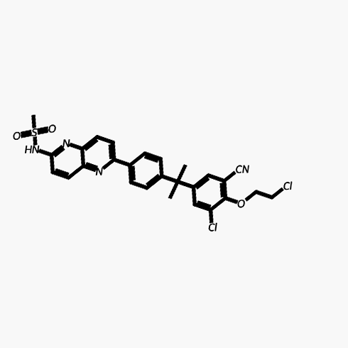 CC(C)(c1ccc(-c2ccc3nc(NS(C)(=O)=O)ccc3n2)cc1)c1cc(Cl)c(OCCCl)c(C#N)c1